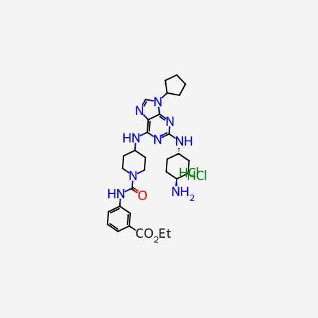 CCOC(=O)c1cccc(NC(=O)N2CCC(Nc3nc(N[C@H]4CC[C@H](N)CC4)nc4c3ncn4C3CCCC3)CC2)c1.Cl.Cl